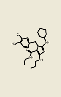 CCCNc1nc(NC2CCCCC2)n(Cc2ccc(O)c(Cl)c2)c1C(=O)NCC